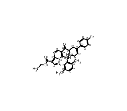 CCOC(=O)c1cnn2c(Nc3cc(C)ccc3C)c(C(=O)C3CC(c4ccc(F)cc4)=CCN3)cnc12